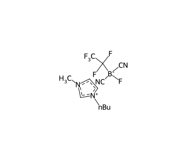 CCCC[n+]1ccn(C)c1.N#C[B-](F)(C#N)C(F)(F)C(F)(F)F